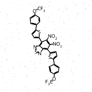 O=[N+]([O-])c1c(-c2ccc(-c3ccc(OC(F)(F)F)cc3)s2)c2c(c(-c3ccc(-c4ccc(OC(F)(F)F)cc4)s3)c1[N+](=O)[O-])N=S=N2